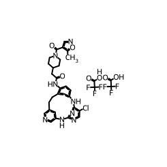 Cc1oncc1C(=O)N1CCC(CC(=O)Nc2ccc3cc2CCc2cncc(c2)Nc2ncc(Cl)c(n2)N3)CC1.O=C(O)C(F)(F)F.O=C(O)C(F)(F)F